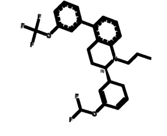 CCCN1c2cccc(-c3cccc(OC(F)(F)F)c3)c2CC[C@@H]1C1C=C(OC(F)F)C=CC1